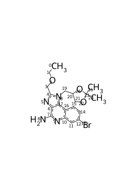 CCOCc1nc2c(N)nc3cc(Br)ccc3c2n1CC1COC(C)(C)O1